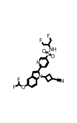 N#CC1CC(n2c(-c3ccc(S(=O)(=O)NC(CF)CF)cn3)cc3cc(OC(F)F)ccc32)C1